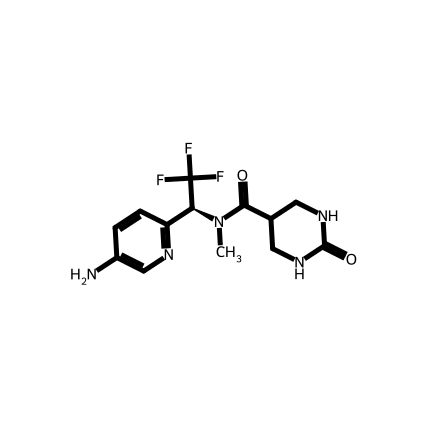 CN(C(=O)C1CNC(=O)NC1)[C@@H](c1ccc(N)cn1)C(F)(F)F